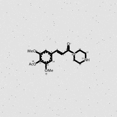 COc1cc(C=CC(=O)N2CCNCC2)cc(OC)c1OC(C)=O